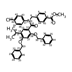 COC(=O)c1ccc(CN(C(=O)c2cc(C(C)C)c(OCc3ccccc3)cc2OCc2ccccc2)c2ccc(Cl)cc2)cc1